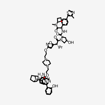 Cc1ncsc1-c1ccc([C@@H](NC(=O)[C@@H]2C[C@@H](O)CN2C(=O)[C@@H](c2cc(OCCN3CCN(CCOc4cc(N5C6CCC5CN(c5cc(-c7ccccc7O)nnc5N)C6)ccn4)CC3)no2)C(C)C)C(=O)N(C)C2CCC2)cc1